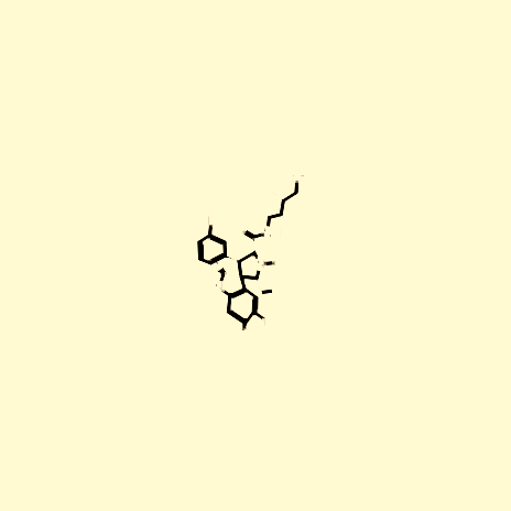 CN1[C@@H](C(=O)NCC[C@H](O)CO)[C@H](c2cccc(Br)c2)[C@@]2(C(=O)Nc3cc(Cl)c(F)cc32)[C@H]1CC(C)(C)C